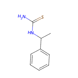 CC(NC(N)=S)c1ccccc1